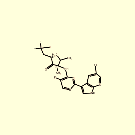 CC(C)[C@](C)(Nc1nc(-c2c[nH]c3ncc(Cl)cc23)ncc1F)C(=O)NCC(F)(F)F